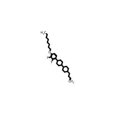 C=CCCC1CCC(C2CCC(c3ccc(OCCCCCCCC)c(F)c3F)CC2)CC1